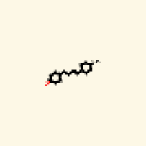 CCCC1CCC(C=CCCC2CCC(=O)CC2)CC1